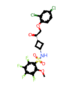 COc1c(F)c(F)c(F)c(F)c1S(=O)(=O)N[C@H]1C[C@@H](C(=O)COc2ccc(Cl)cc2Cl)C1